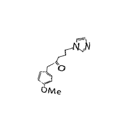 COc1ccc(CC(=O)CCCn2ccnc2)cc1